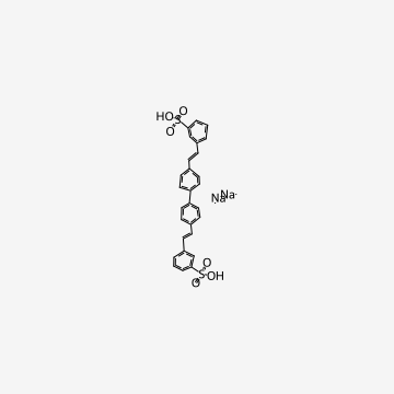 O=S(=O)(O)c1cccc(C=Cc2ccc(-c3ccc(C=Cc4cccc(S(=O)(=O)O)c4)cc3)cc2)c1.[Na].[Na]